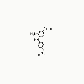 CC(C)(O)Cc1ccc(Nc2ccc(CC=O)cc2N)cc1